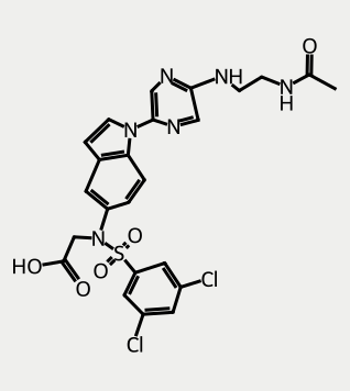 CC(=O)NCCNc1cnc(-n2ccc3cc(N(CC(=O)O)S(=O)(=O)c4cc(Cl)cc(Cl)c4)ccc32)cn1